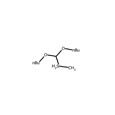 CCCCOC(OCCCC)[SiH2]C